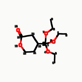 CCO[Si](OCC)(OCC)C1CCOC(=O)C1